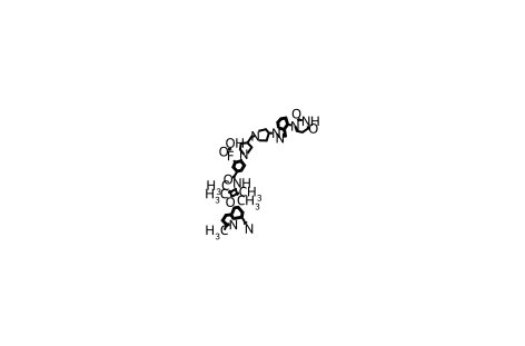 Cc1ccc2c(OC3C(C)(C)C(NC(=O)c4ccc(N5CCC(CN6CCC(n7ncc8c(N9CCC(=O)NC9=O)cccc87)CC6)CC5)c(F)c4)C3(C)C)ccc(C#N)c2n1.O=CO